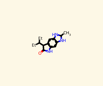 CCC(CC)C1C(=O)Nc2cc3c(cc21)NC(C)N3